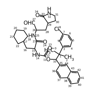 CC(C)(c1cccc(Cl)c1)C(OC(=O)NC(CC1CCCCC1)C(=O)NC(C=O)CC1CCNC1=O)c1ccc2ccccc2c1